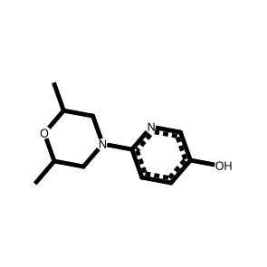 CC1CN(c2ccc(O)cn2)CC(C)O1